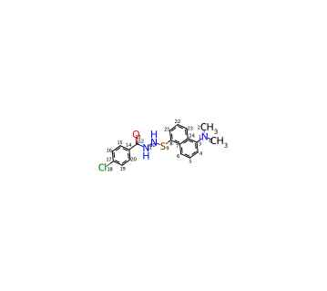 CN(C)c1cccc2c(SNNC(=O)c3ccc(Cl)cc3)cccc12